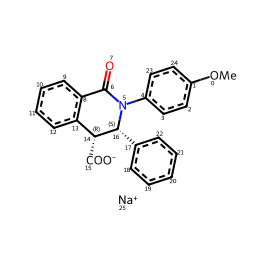 COc1ccc(N2C(=O)c3ccccc3[C@@H](C(=O)[O-])[C@H]2c2ccccc2)cc1.[Na+]